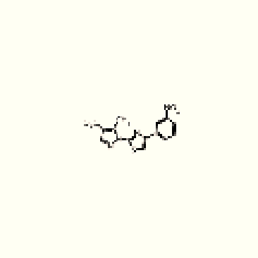 Cc1c(C(=O)O)cnn1-c1nc(-c2cccc([N+](=O)[O-])c2)cs1